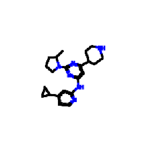 CC1CCCN1c1nc(Nc2cc(C3CC3)ccn2)cc(C2CCNCC2)n1